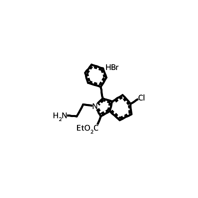 Br.CCOC(=O)c1c2ccc(Cl)cc2c(-c2ccccc2)n1CCN